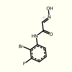 O=C(/C=N/O)Nc1cccc(F)c1Br